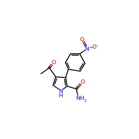 CC(=O)c1c[nH]c(C(N)=O)c1-c1ccc([N+](=O)[O-])cc1